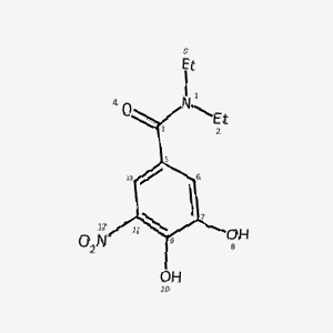 CCN(CC)C(=O)c1cc(O)c(O)c([N+](=O)[O-])c1